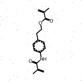 C=C(C)C(=O)Nc1ccc(CCOC(=O)C(=C)C)cc1